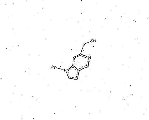 CC(C)n1ccc2cnc(SS)cc21